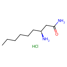 CCCCCC[C@H](N)CC(N)=O.Cl